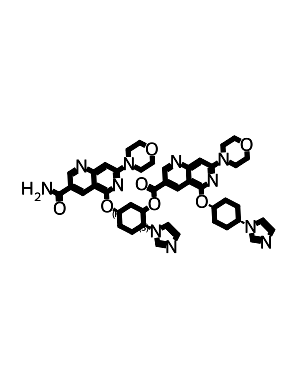 NC(=O)c1cnc2cc(N3CCOCC3)nc(O[C@@H]3CC[C@H](n4ccnc4)C(OC(=O)c4cnc5cc(N6CCOCC6)nc(O[C@H]6CC[C@@H](n7ccnc7)CC6)c5c4)C3)c2c1